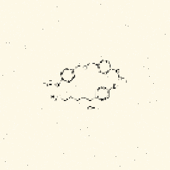 CCCCCC(O)c1ccc(Br)cc1.COc1ccc(COCc2ccc(OC)cc2)cc1